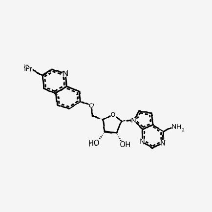 CC(C)c1cnc2cc(OC[C@H]3O[C@@H](n4ccc5c(N)ncnc54)[C@H](O)[C@@H]3O)ccc2c1